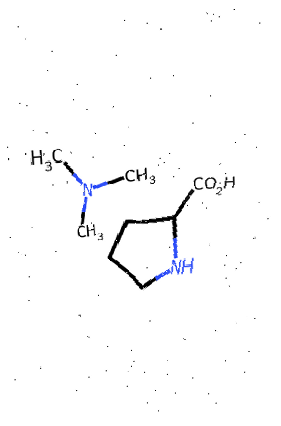 CN(C)C.O=C(O)C1CCCN1